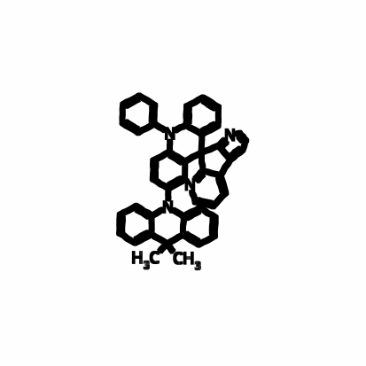 CC1(C)c2ccccc2N(c2ccc3c(c2)C2(c4ccccc4N3c3ccccc3)c3ncccc3-c3cccnc32)c2ccccc21